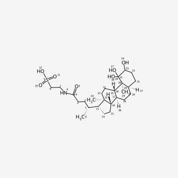 C[C@H](CCC(=O)NCCS(=O)(=O)O)[C@H]1CC[C@H]2[C@@H]3CC[C@@H]4CCC(O)C(O)(O)[C@]4(C)[C@H]3CC[C@]12C